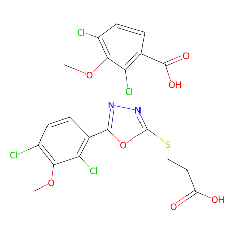 COc1c(Cl)ccc(-c2nnc(SCCC(=O)O)o2)c1Cl.COc1c(Cl)ccc(C(=O)O)c1Cl